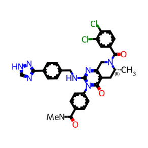 CNC(=O)c1ccc(-n2c(NCc3ccc(-c4nc[nH]n4)cc3)nc3c(c2=O)C[C@@H](C)N(C(=O)c2ccc(Cl)c(Cl)c2)C3)cc1